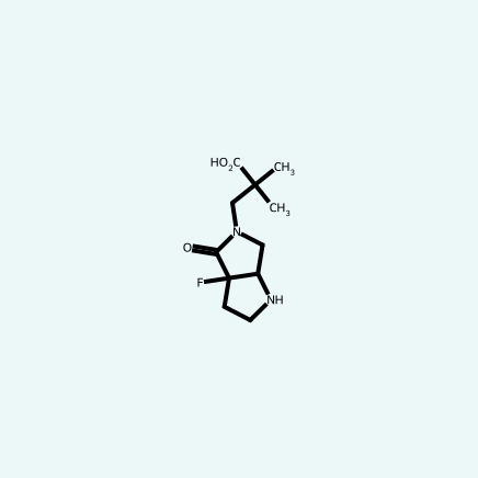 CC(C)(CN1CC2NCCC2(F)C1=O)C(=O)O